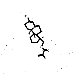 C=C(C)C(=O)OC[C@@]1(C)CCC[C@@]2(C)C1CC=C1C=C(C(C)C)CC[C@H]12